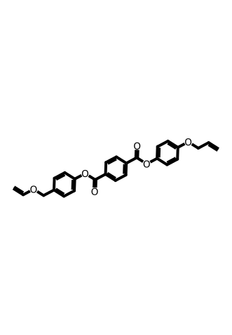 C=CCOc1ccc(OC(=O)c2ccc(C(=O)Oc3ccc(COC=C)cc3)cc2)cc1